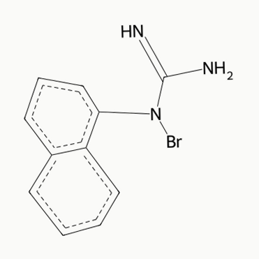 N=C(N)N(Br)c1cccc2ccccc12